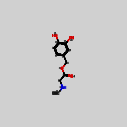 O=CNCC(=O)OCc1ccc(O)c(O)c1